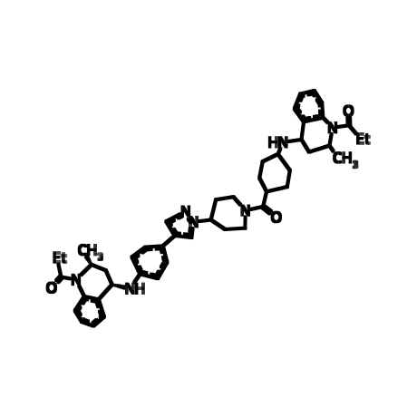 CCC(=O)N1c2ccccc2C(NC2CCC(C(=O)N3CCC(n4cc(-c5ccc(N[C@@H]6C[C@H](C)N(C(=O)CC)c7ccccc76)cc5)cn4)CC3)CC2)CC1C